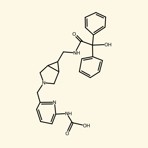 O=C(O)Nc1cccc(CN2CC3C(CNC(=O)C(O)(c4ccccc4)c4ccccc4)C3C2)n1